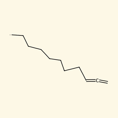 [CH2]CCCCCCCC=C=C